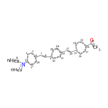 CCCCCCN(CCCCCC)c1ccc(C=Cc2ccc(C=Cc3ccc(C(=O)C(F)(F)F)cc3)cc2)cc1